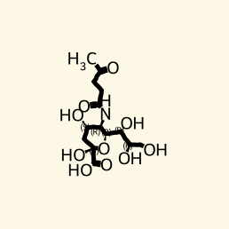 CC(=O)CCC(=O)N[C@H]1[C@H]([C@H](O)[C@H](O)CO)O[C@](O)(C(=O)O)C[C@@H]1O